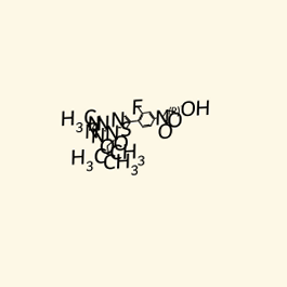 Cn1nnc(N(C(=O)OC(C)(C)C)c2ncc(-c3ccc(N4C[C@H](CO)OC4=O)cc3F)s2)n1